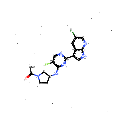 COC(=O)N1CC[C@H](Nc2nc(-c3c[nH]c4ncc(Cl)cc34)ncc2F)C1